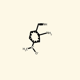 C[S+]([O-])c1ccc(C=N)c(N)c1